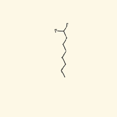 CCCCCCCC(F)F